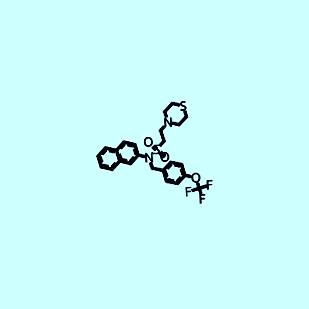 O=S(=O)(CCN1CCSCC1)N(Cc1ccc(OC(F)(F)F)cc1)c1ccc2ccccc2c1